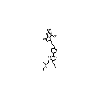 CCOC(=O)CC[C@H](NC(=O)c1ccc(CCCC2CNc3nc(N)nc(O)c32)cc1)C(=O)OCC